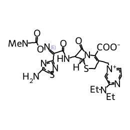 CCN(CC)c1c[n+](CC2=C(C(=O)[O-])N3C(=O)C(NC(=O)/C(=N/OC(=O)NC)c4nsc(N)n4)[C@H]3SC2)ccn1